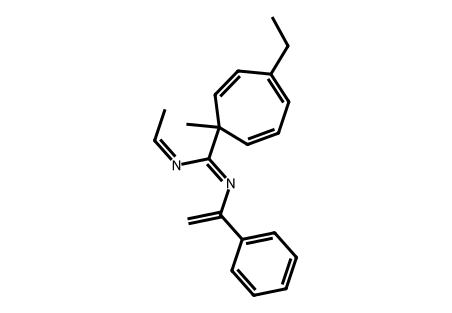 C=C(/N=C(\N=C/C)C1(C)C=CC=C(CC)C=C1)c1ccccc1